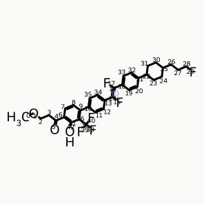 COCCC(=O)c1ccc(-c2ccc(/C(F)=C(\F)c3ccc(C4CCC(CCCF)CC4)cc3)cc2)c(C(F)(F)F)c1O